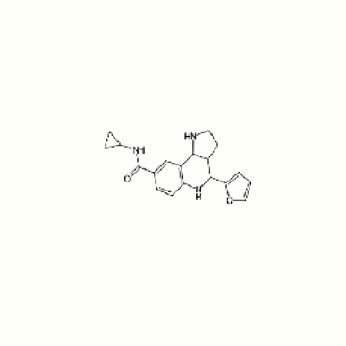 O=C(NC1CC1)c1ccc2c(c1)C1NCCC1C(c1ccco1)N2